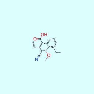 C=Cc1c(C#N)c(OC)c2c(CC)cccc2c1C(=O)O